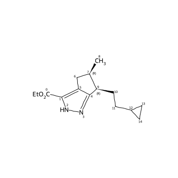 CCOC(=O)c1[nH]nc2c1C[C@@H](C)[C@H]2CCC1CC1